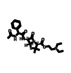 CCN(CC)CCOC(=O)[C@@H]1N2C(=O)[C@@H](NC(=O)C(NC(C)=O)c3ccccc3)[C@H]2SC1(C)C